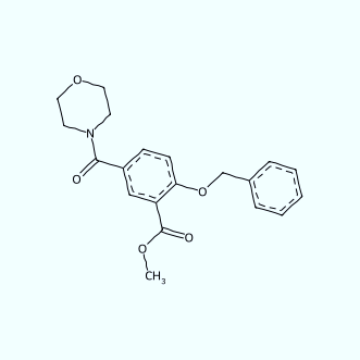 COC(=O)c1cc(C(=O)N2CCOCC2)ccc1OCc1ccccc1